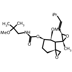 CO[C@H]1C([C@@]2(C)O[C@@H]2/C=C/C(C)C)[C@]2(CC[C@H]1OC(=O)NCC(C)(C)OC)CO2